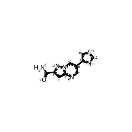 NC(=O)c1cc2ncc(-c3cscn3)cn2n1